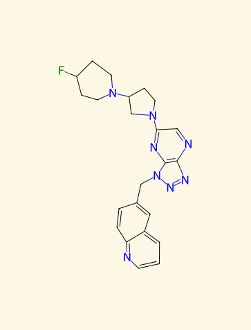 FC1CCN(C2CCN(c3cnc4nnn(Cc5ccc6ncccc6c5)c4n3)C2)CC1